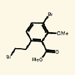 COC(=O)c1c(CCBr)ccc(Br)c1OC